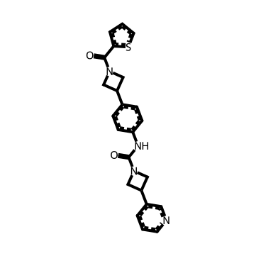 O=C(Nc1ccc(C2CN(C(=O)c3cccs3)C2)cc1)N1CC(c2cccnc2)C1